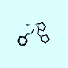 Cl.c1ccc(COC[C@@]2(CN3CCCC3)CCCN2)cc1